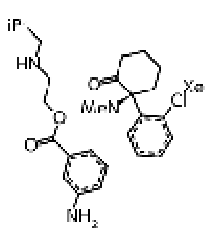 CC(C)CNCCOC(=O)c1cccc(N)c1.CN[C@]1(c2ccccc2Cl)CCCCC1=O.[Xe]